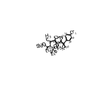 CCOP(=O)(OCC)C(C(=O)OC(C)(C)C)C(C)c1nc(C2(c3ccc(C(F)(F)F)cc3)CC2)no1